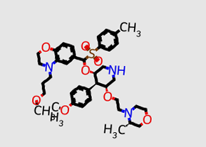 COCCCN1CCOc2ccc(C(O[C@H]3CNC[C@@H](OCCN4CCOC[C@@H]4C)[C@H]3c3ccc(OC)cc3)S(=O)(=O)c3ccc(C)cc3)cc21